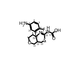 Nc1ccc(F)c([C@]23CCOCC2CSC(NC(=O)O)=N3)c1